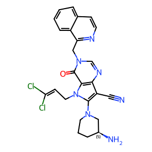 N#Cc1c(N2CCC[C@H](N)C2)n(CC=C(Cl)Cl)c2c(=O)n(Cc3nccc4ccccc34)cnc12